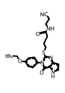 CC(C)(C)COc1ccc(-n2c(SCCCC(=O)NCCC#N)nc3cc[nH]c3c2=O)cc1